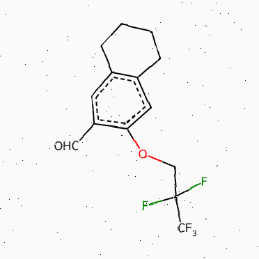 O=Cc1cc2c(cc1OCC(F)(F)C(F)(F)F)CCCC2